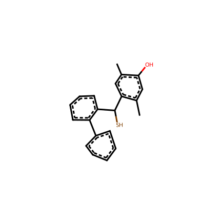 Cc1cc(C(S)c2ccccc2-c2ccccc2)c(C)cc1O